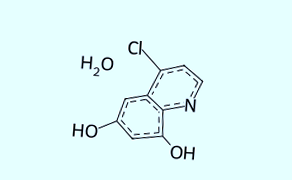 O.Oc1cc(O)c2nccc(Cl)c2c1